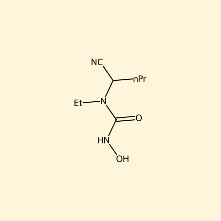 CCCC(C#N)N(CC)C(=O)NO